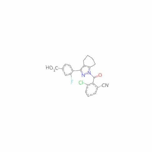 N#Cc1cccc(Cl)c1C(=O)n1nc(-c2ccc(C(=O)O)cc2F)c2c1CCCC2